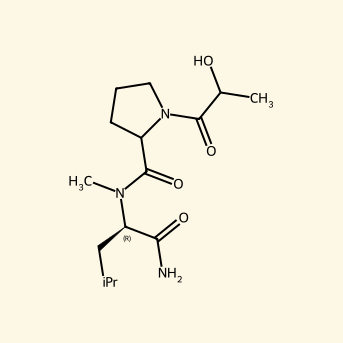 CC(C)C[C@H](C(N)=O)N(C)C(=O)C1CCCN1C(=O)C(C)O